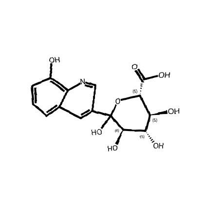 O=C(O)[C@H]1OC(O)(c2cnc3c(O)cccc3c2)[C@H](O)[C@@H](O)[C@@H]1O